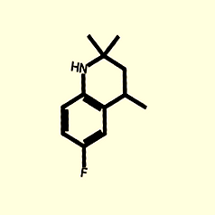 CC1CC(C)(C)Nc2ccc(F)cc21